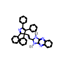 CCN1c2nc3ccccc3nc2N(CC)C1/C=C/C1(c2ccccc2)C(c2ccccc2)=NC(c2ccccc2)=C1c1ccccc1